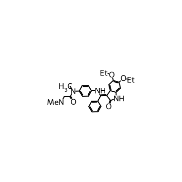 CCOc1cc2c(cc1OCC)C(=C(Nc1ccc(N(C)C(=O)CNC)cc1)c1ccccc1)C(=O)N2